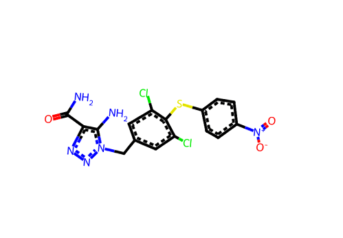 NC(=O)c1nnn(Cc2cc(Cl)c(Sc3ccc([N+](=O)[O-])cc3)c(Cl)c2)c1N